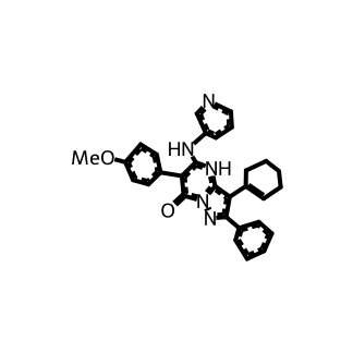 COc1ccc(-c2c(Nc3cccnc3)[nH]c3c(C4=CCCCC4)c(-c4ccccc4)nn3c2=O)cc1